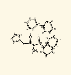 NN(C(=O)Cc1cccs1)C(=O)c1ccnc2ccccc12.c1ccc(-c2ccccc2)cc1